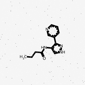 CCCC(=O)Nc1c[nH]nc1-c1cccnc1